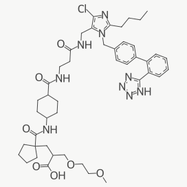 CCCCc1nc(Cl)c(CNC(=O)CCNC(=O)C2CCC(NC(=O)C3(CC(COCCOC)C(=O)O)CCCC3)CC2)n1Cc1ccc(-c2ccccc2-c2nnn[nH]2)cc1